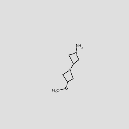 COC1CN(C2CN(N)C2)C1